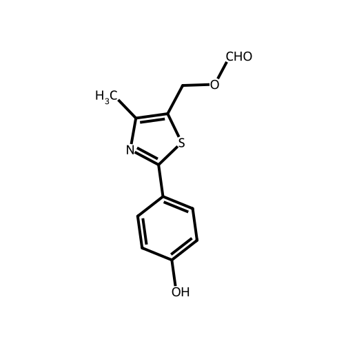 Cc1nc(-c2ccc(O)cc2)sc1COC=O